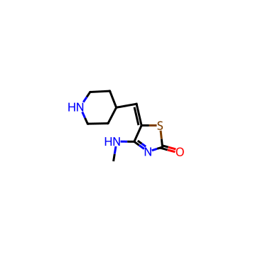 CNC1=NC(=O)SC1=CC1CCNCC1